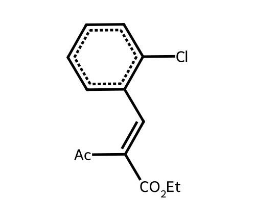 CCOC(=O)C(=Cc1ccccc1Cl)C(C)=O